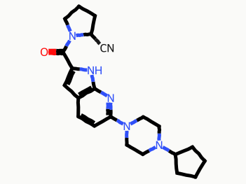 N#CC1CCCN1C(=O)c1cc2ccc(N3CCN(C4CCCC4)CC3)nc2[nH]1